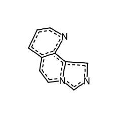 c1cnc2c(c1)ccn1cncc21